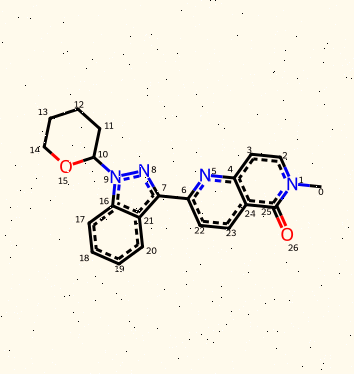 Cn1ccc2nc(-c3nn(C4CCCCO4)c4ccccc34)ccc2c1=O